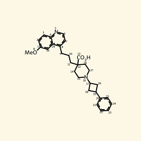 COc1ccc2nccc(CCCC3(C(=O)O)CCN(C4CC(c5ccccc5)C4)CC3)c2c1